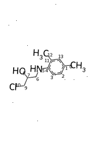 Cc1ccc(NCC(O)CCl)c(C)c1